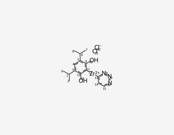 CC(C)c1cc(C(C)C)c(O)[c]([Zr+2][c]2ccnnn2)c1O.[Cl-].[Cl-]